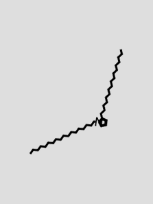 CCCCCCCCCCCCCCCCCCn1cccc1CCCCCCCCCCCCCCCCC